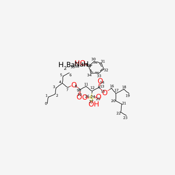 CCCCC(CC)COC(=O)CC(C(=O)OCC(CC)CCCC)S(=O)(=O)O.Oc1ccccc1.[BaH2].[NaH]